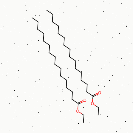 CCCCCCCCCCCCCCCC(=O)OCC.CCCCCCCCCCCCCCCC(=O)OCC